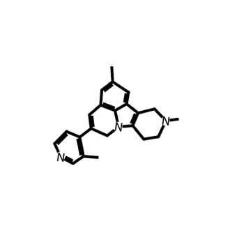 Cc1cc2c3c(c1)c1c(n3CC(c3ccncc3C)=C2)CCN(C)C1